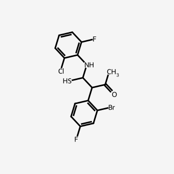 CC(=O)C(c1ccc(F)cc1Br)C(S)Nc1c(F)cccc1Cl